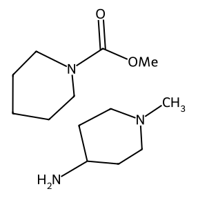 CN1CCC(N)CC1.COC(=O)N1CCCCC1